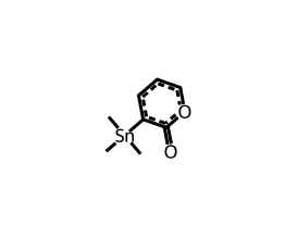 [CH3][Sn]([CH3])([CH3])[c]1cccoc1=O